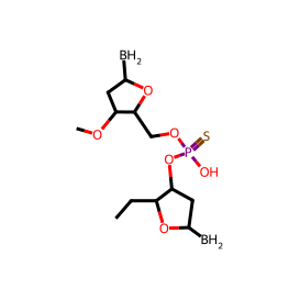 BC1CC(OC)C(COP(O)(=S)OC2CC(B)OC2CC)O1